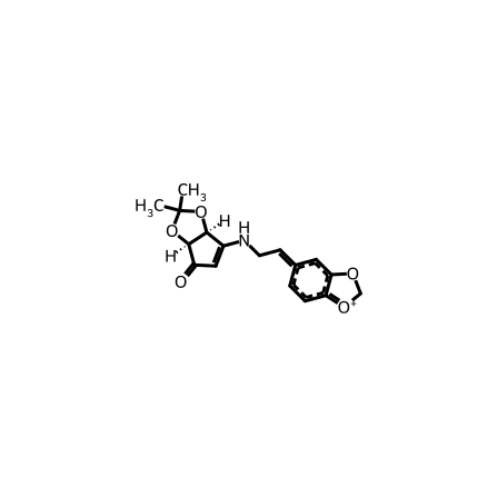 CC1(C)O[C@@H]2C(=O)C=C(NC/C=c3\ccc4c(c3)OC[O+]=4)[C@@H]2O1